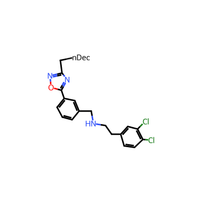 CCCCCCCCCCCc1noc(-c2cccc(CNCCc3ccc(Cl)c(Cl)c3)c2)n1